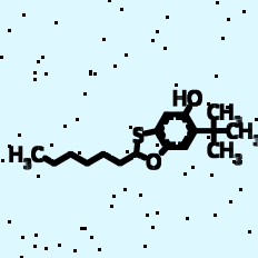 CCCCCCC1Oc2cc(C(C)(C)C)c(O)cc2S1